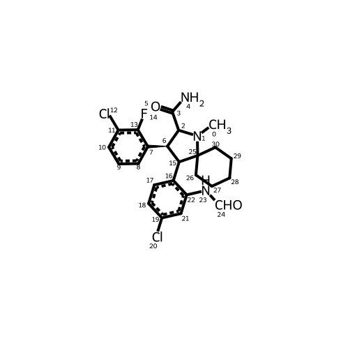 CN1C(C(N)=O)[C@H](c2cccc(Cl)c2F)C(c2ccc(Cl)cc2NC=O)C12CCCCC2